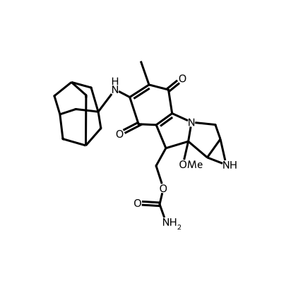 COC12C(COC(N)=O)C3=C(C(=O)C(C)=C(NC45CC6CC(CC(C6)C4)C5)C3=O)N1CC1NC12